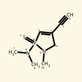 C#CC1=CP(=S)(N(C)C)N(C)C1